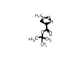 Cn1cc(C(=O)OC(C)(C)C)nn1